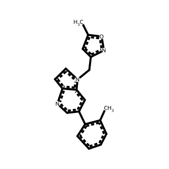 Cc1cc(Cn2ccc3ncc(-c4ccccc4C)cc32)no1